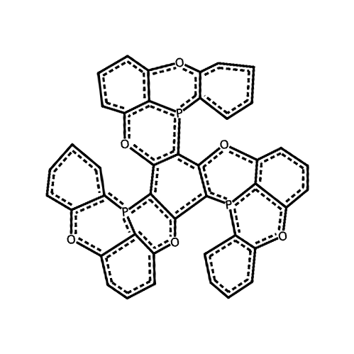 c1ccc2c(c1)oc1cccc3oc4c(c5oc6cccc7oc8ccccc8p(c76)c5c5oc6cccc7oc8ccccc8p(c76)c45)p2c13